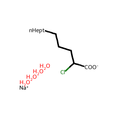 CCCCCCCCCCC(Cl)C(=O)[O-].O.O.O.O.[Na+]